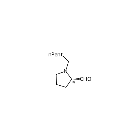 CCCCCCN1CCC[C@@H]1C=O